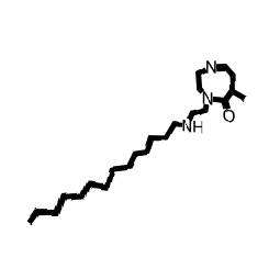 CCCCCCCCCCCCCCNCCN1CC/N=C\CC(C)C1=O